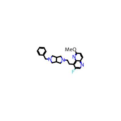 COc1ccc2ncc(F)c(CCN3CC4CN(Cc5ccccc5)CC4C3)c2n1